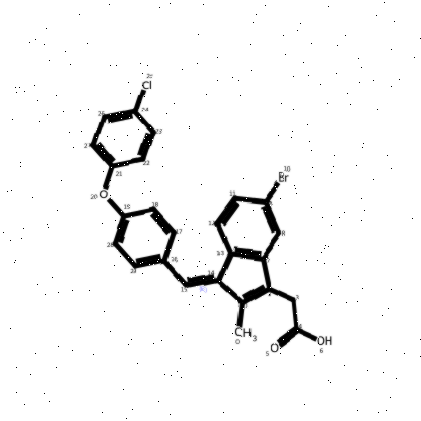 CC1=C(CC(=O)O)c2cc(Br)ccc2/C1=C\c1ccc(Oc2ccc(Cl)cc2)cc1